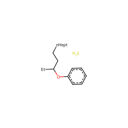 CCCCCCCCCC(CC)Oc1ccccc1.S